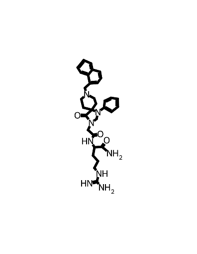 N=C(N)NCCCC(NC(=O)CN1CN(c2ccccc2)C2(CCN(Cc3cccc4ccccc34)CC2)C1=O)C(N)=O